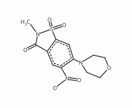 CN1C(=O)c2cc([N+](=O)[O-])c(N3CCOCC3)cc2S1(=O)=O